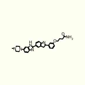 CN1CCN(c2ccc3nc(-c4ccc5c(c4)CC(c4cccc(OCCCC(N)=O)c4)=N5)[nH]c3c2)CC1